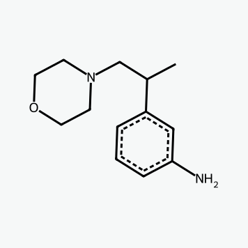 CC(CN1CCOCC1)c1cccc(N)c1